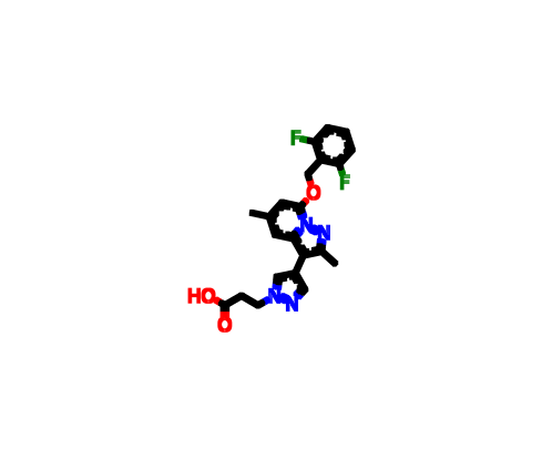 Cc1cc(OCc2c(F)cccc2F)n2nc(C)c(-c3cnn(CCC(=O)O)c3)c2c1